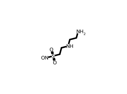 NCCNCCS(=O)(=O)N=O